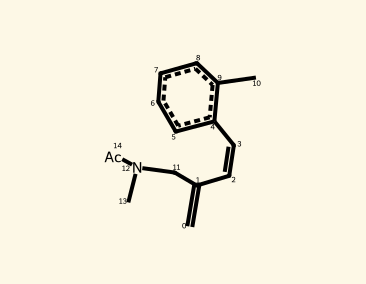 C=C(/C=C\c1ccccc1C)CN(C)C(C)=O